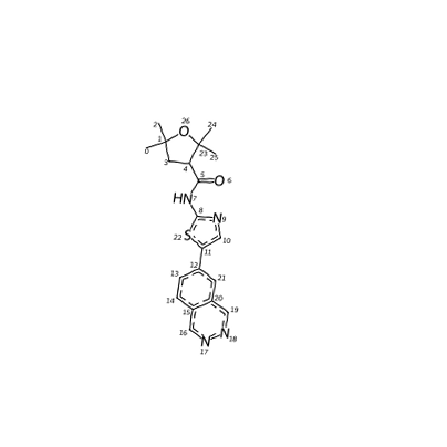 CC1(C)CC(C(=O)Nc2ncc(-c3ccc4cnncc4c3)s2)C(C)(C)O1